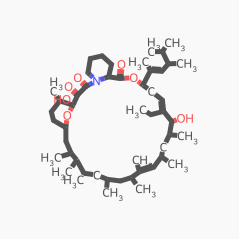 CC/C1=C\CC(/C(C)=C/C(C)C(C)C)OC(=O)C2CCCCN2C(=O)C(=O)C2(O)OC(CCC2C)CC(C)C(C)C(C)CC(C)CC(C)/C(C)=C/C(C)CC(C)C1O